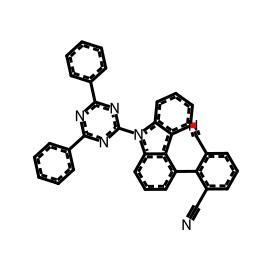 N#Cc1cccc(C#N)c1-c1cccc2c1c1ccccc1n2-c1nc(-c2ccccc2)nc(-c2ccccc2)n1